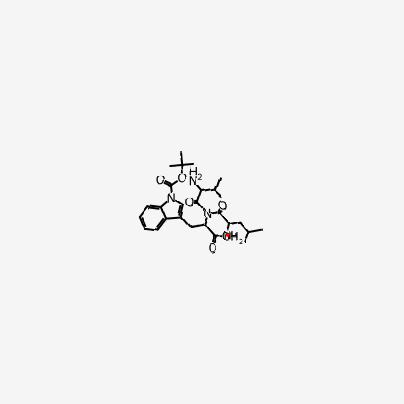 CC(C)CC(N)C(=O)N(C(=O)C(N)C(C)C)C(Cc1cn(C(=O)OC(C)(C)C)c2ccccc12)C(=O)O